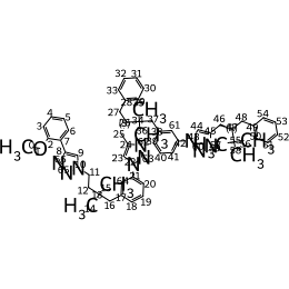 COc1ccccc1-c1cn(CCC(C)(C)Cc2cccc(-n3cc(C[C@H](Cc4ccccc4)C(C)(C)Cc4cccc(-n5cc(C[C@@H](Cc6ccccc6)C(C)(C)C)nn5)c4)nn3)c2)nn1